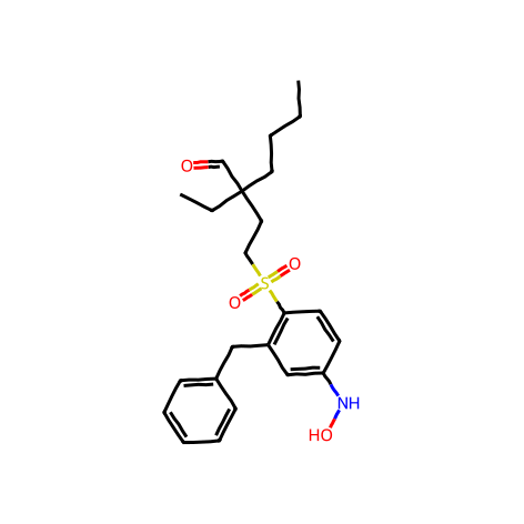 CCCCC(C=O)(CC)CCS(=O)(=O)c1ccc(NO)cc1Cc1ccccc1